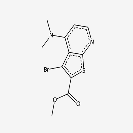 COC(=O)c1sc2nccc(N(C)C)c2c1Br